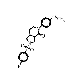 O=C1C2CN(S(=O)(=O)c3ccc(F)cc3)CC2CCN1c1ccc(OC(F)(F)F)cc1